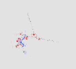 CCCCCCCCCCCCCCCC(=O)OC[C@H](CSCCC(=O)N[C@H](CCC(=O)O)C(=O)NCC(=O)N(NC(=O)C(N)CCCCN)[C@H](CCC(=O)O)C(=O)O)OC(=O)CCCCCCCCCCCCCCC